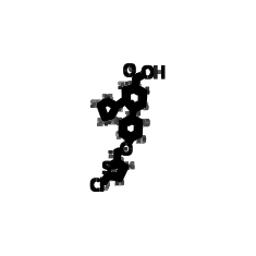 O=C(O)c1ccc(-c2ccc(OCc3ccc(Cl)s3)cc2)c(C2CCCC2)c1